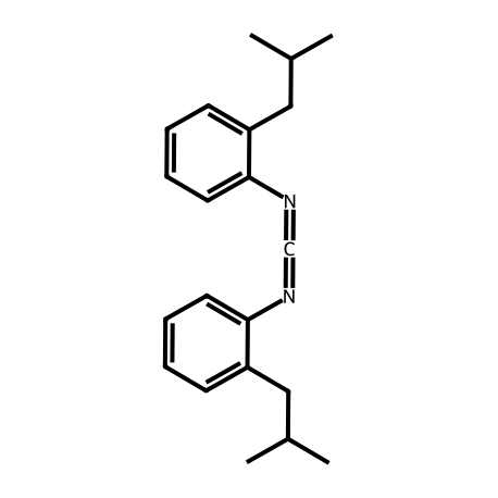 CC(C)Cc1ccccc1N=C=Nc1ccccc1CC(C)C